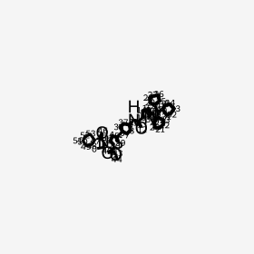 CCN(c1cc(-c2ccc(NC(=O)c3ccn(C(c4ccccc4)(c4ccccc4)c4ccccc4)n3)cc2)sc1C(=O)OC)C(=O)[C@H]1CC[C@H](C)CC1